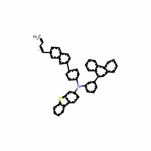 C=C/C=C\c1ccc2ccc(-c3ccc(N(c4cccc(-c5cc6ccccc6c6ccccc56)c4)c4ccc5c(c4)sc4ccccc45)cc3)cc2c1